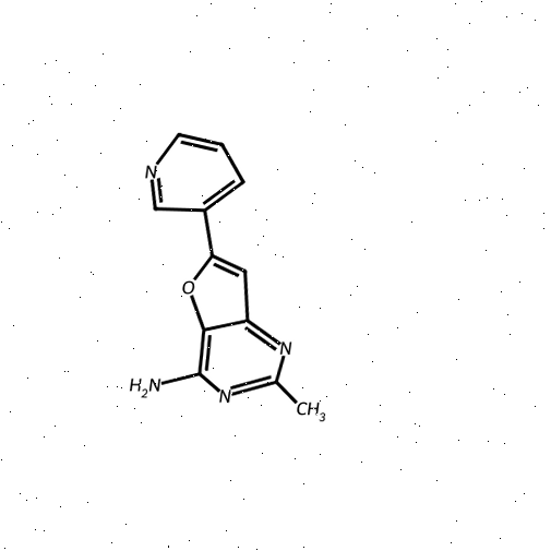 Cc1nc(N)c2oc(-c3cccnc3)cc2n1